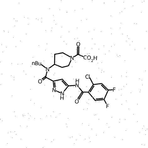 CCCCN(C(=O)c1cc(NC(=O)c2cc(F)c(F)cc2Cl)[nH]n1)C1CCN(C(=O)C(=O)O)CC1